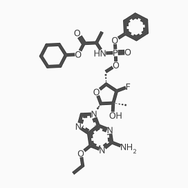 CCOc1nc(N)nc2c1ncn2[C@@H]1O[C@H](COP(=O)(NC(C)C(=O)OC2CCCCC2)Oc2ccccc2)C(F)[C@@]1(C)O